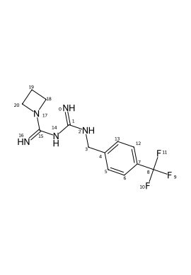 N=C(NCc1ccc(C(F)(F)F)cc1)NC(=N)N1CCC1